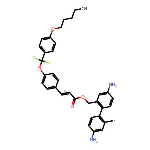 [CH2]c1cc(N)ccc1-c1ccc(N)cc1COC(=O)/C=C/c1ccc(OC(F)(F)c2ccc(OCCCCC#N)cc2)cc1